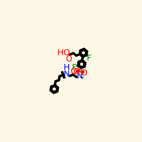 CN(CC(O)CNC(C)(C)CCCc1ccccc1)S(=O)(=O)c1ccc(-c2c(F)cccc2CCC(=O)O)cc1F